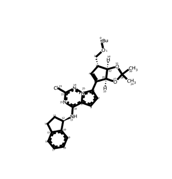 CC(C)(C)OC[C@H]1C=C(c2ccc3c(N[C@@H]4CCc5ccccc54)nc(Cl)nn23)[C@@H]2OC(C)(C)O[C@H]12